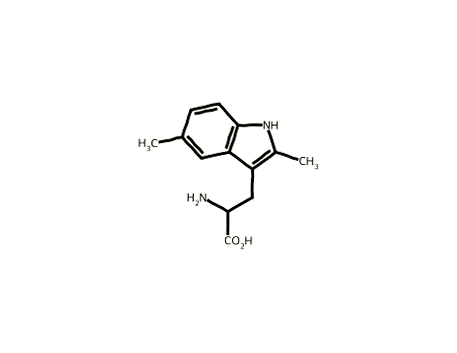 Cc1ccc2[nH]c(C)c(CC(N)C(=O)O)c2c1